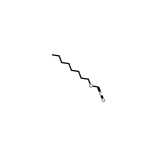 CCCCCCCCOC=C=O